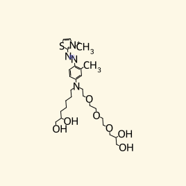 Cc1cc(N(CCCCCC(O)CO)CCOCCOCCOCC(O)CO)ccc1/N=N/c1scc[n+]1C